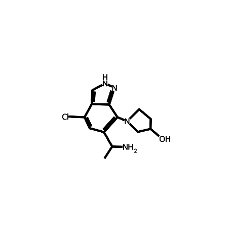 CC(N)c1cc(Cl)c2c[nH]nc2c1N1CCC(O)C1